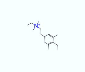 CCc1c(C)cc(CC[N+](C)(C)CC)cc1C